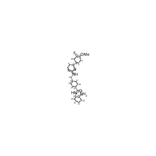 COc1ccc(-c2ccnc(NCc3ccc(C(=O)Nc4ccccc4N)cc3)n2)cc1F